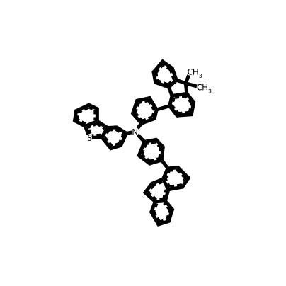 CC1(C)c2ccccc2-c2c(-c3cccc(N(c4ccc(-c5cccc6c5ccc5ccccc56)cc4)c4ccc5sc6ccccc6c5c4)c3)cccc21